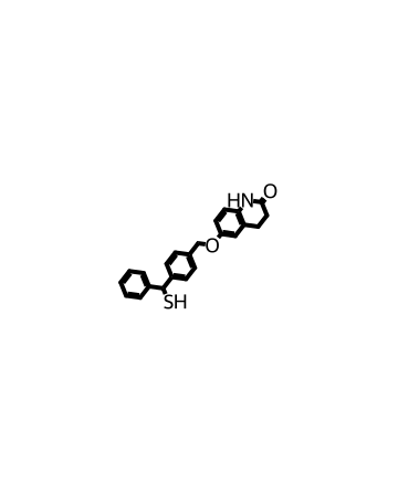 O=C1CCc2cc(OCc3ccc(C(S)c4ccccc4)cc3)ccc2N1